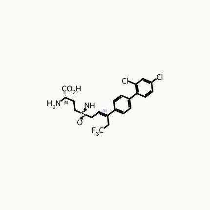 N=S(=O)(C/C=C(\CC(F)(F)F)c1ccc(-c2ccc(Cl)cc2Cl)cc1)CC[C@H](N)C(=O)O